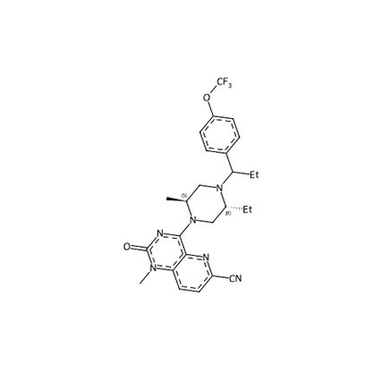 CCC(c1ccc(OC(F)(F)F)cc1)N1C[C@H](C)N(c2nc(=O)n(C)c3ccc(C#N)nc23)C[C@H]1CC